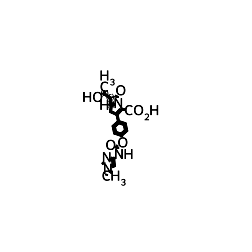 C[C@@H](O)[C@H]1C(=O)N2C(C(=O)O)=C(c3ccc(OC(=O)Nc4cn(C)cn4)cc3)C[C@H]12